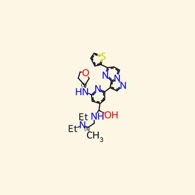 CCN(CC)[C@@H](C)CNC(O)c1cc(N[C@H]2CCOC2)nc(-c2cnn3ccc(-c4cccs4)nc23)c1